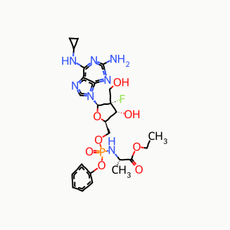 CCOC(=O)[C@H](C)NP(=O)(OC[C@H]1O[C@@H](n2cnc3c(NC4CC4)nc(N)nc32)[C@@](F)(CO)[C@@H]1O)Oc1ccccc1